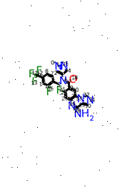 Cn1cc(N(Cc2ccc(C(F)(F)F)cc2F)C(=O)c2cc3c(cc2F)nc(N)c2cncn23)cn1